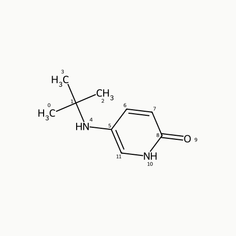 CC(C)(C)Nc1ccc(=O)[nH]c1